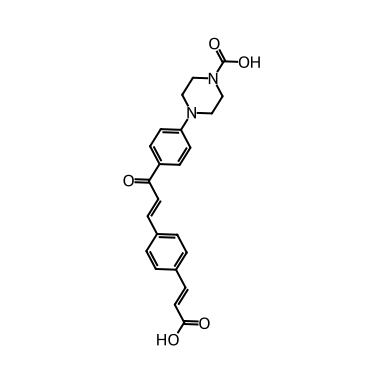 O=C(O)/C=C/c1ccc(/C=C/C(=O)c2ccc(N3CCN(C(=O)O)CC3)cc2)cc1